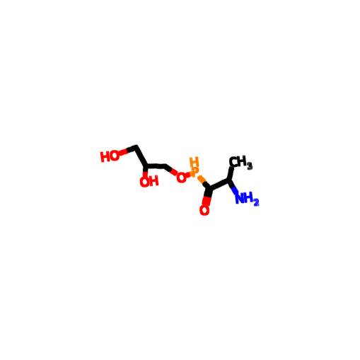 CC(N)C(=O)POCC(O)CO